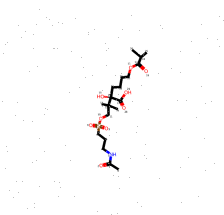 CC(=O)NCCCS(=O)(=O)OCC(C)(C)[C@](O)(CCCCOC(=O)C(C)C)C(=O)O